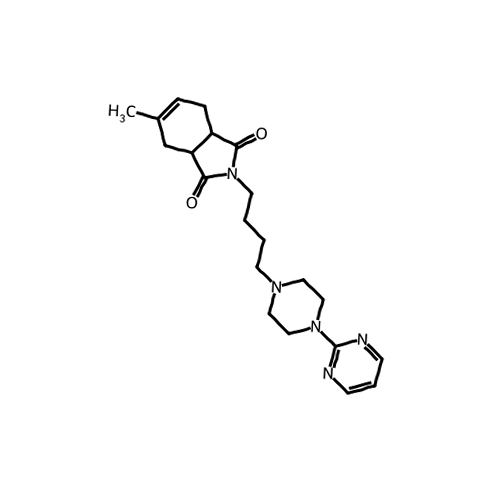 CC1=CCC2C(=O)N(CCCCN3CCN(c4ncccn4)CC3)C(=O)C2C1